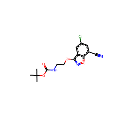 CC(C)(C)OC(=O)NCCOc1noc2c(C#N)cc(Cl)cc12